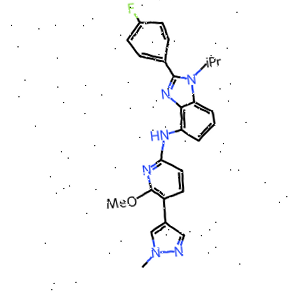 COc1nc(Nc2cccc3c2nc(-c2ccc(F)cc2)n3C(C)C)ccc1-c1cnn(C)c1